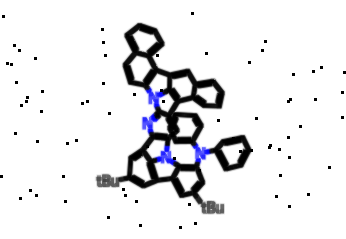 CC(C)(C)c1cc(N(c2ccccc2)c2ccccc2)c2c(c1)c1cc(C(C)(C)C)cc3c4nc5c(cc4n2c13)c1c2ccccc2cc2c3c4ccccc4ccc3n5c21